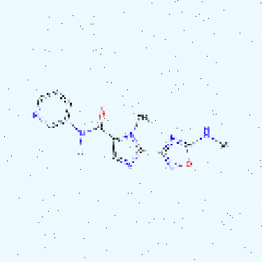 CCNc1nc(-c2ncc(C(=O)N(CC)c3cccnc3)n2C)no1